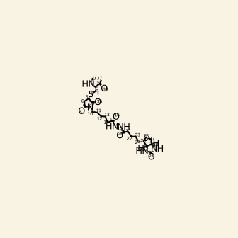 CN[C@@H](CSC1CC(=O)N(CCCCCC(=O)NNC(=O)CCCC[C@@H]2SC[C@@H]3NC(=O)N[C@@H]32)C1=O)C(C)=O